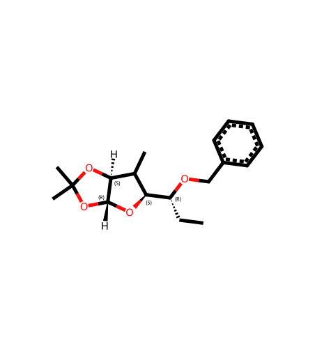 CC[C@@H](OCc1ccccc1)[C@H]1O[C@@H]2OC(C)(C)O[C@H]2C1C